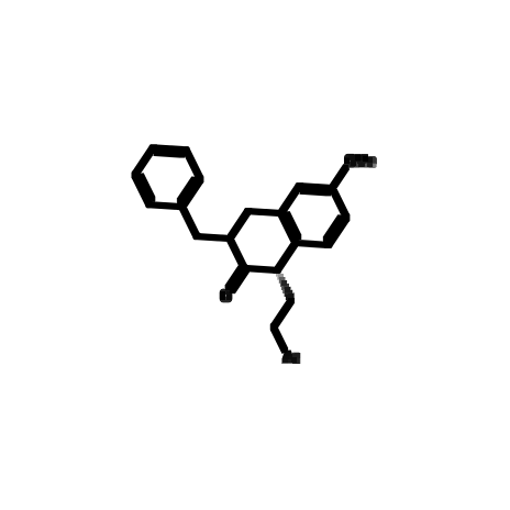 COc1ccc2c(c1)CC(Cc1ccccc1)C(=O)[C@H]2CCC(C)=O